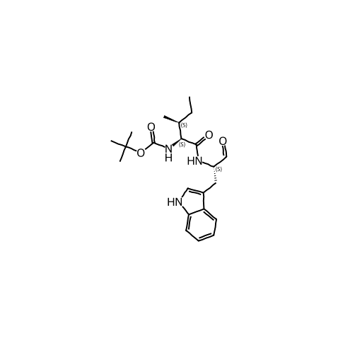 CC[C@H](C)[C@H](NC(=O)OC(C)(C)C)C(=O)N[C@H](C=O)Cc1c[nH]c2ccccc12